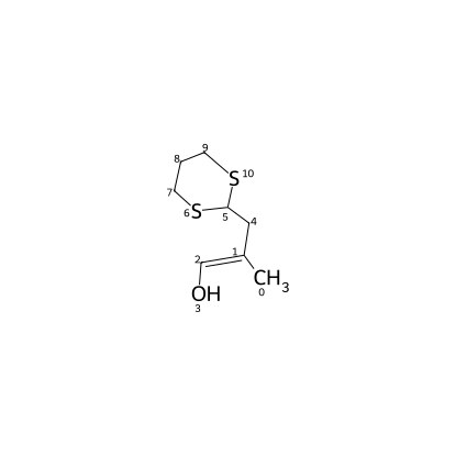 CC(=CO)CC1SCCCS1